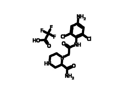 NC(=O)C1CNCCN1CC(=O)Nc1c(Cl)cc(N)cc1Cl.O=C(O)C(F)(F)F